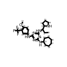 CCC(Nc1nc(Nc2ccc(OC)c(C(F)(F)F)c2)nc(NC2CCCCCC2)n1)C1CCCN1